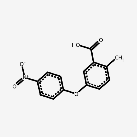 Cc1ccc(Oc2ccc([N+](=O)[O-])cc2)cc1C(=O)O